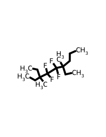 CCCC(C)(CC)C(F)(F)C(F)(F)C(C)(CC)CC